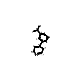 CC(C)c1cccc(C2=CCN=CC2)c1